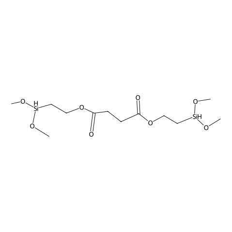 CO[SiH](CCOC(=O)CCC(=O)OCC[SiH](OC)OC)OC